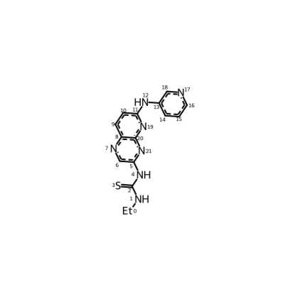 CCNC(=S)Nc1cnc2ccc(Nc3cccnc3)nc2n1